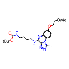 COCCOc1ccc2c(c1)nc(NCCCCNC(=O)OC(C)(C)C)c1nnc(C)n12